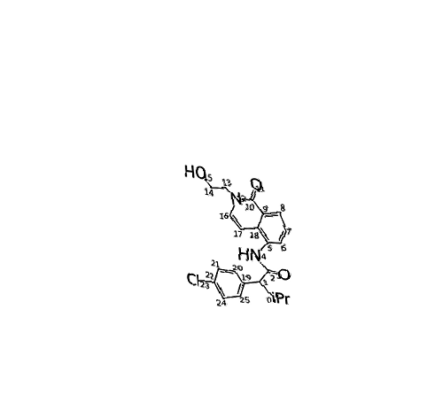 CC(C)C(C(=O)Nc1cccc2c(=O)n(CCO)ccc12)c1ccc(Cl)cc1